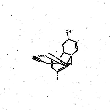 C#CC[N+]1(C)CCC23C=C[C@@H](O)CC2Oc2c(OC)cc(C)c(c23)C1